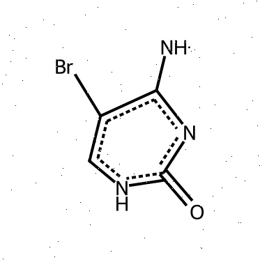 [NH]c1nc(=O)[nH]cc1Br